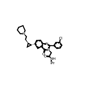 CC(C)NC(=O)Cn1c(-c2cccc(Cl)c2)nc2ccc([C@@H]3C[C@H]3CCN3CCCCC3)cc2c1=O